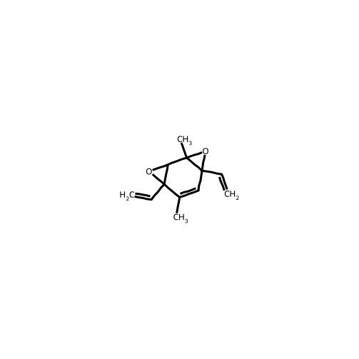 C=CC12OC1C1(C)OC1(C=C)C=C2C